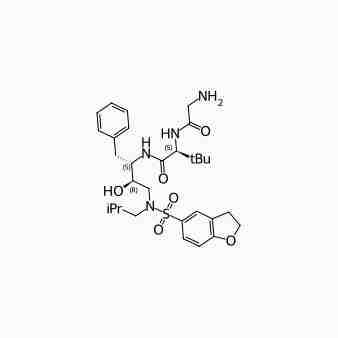 CC(C)CN(C[C@@H](O)[C@H](Cc1ccccc1)NC(=O)[C@@H](NC(=O)CN)C(C)(C)C)S(=O)(=O)c1ccc2c(c1)CCO2